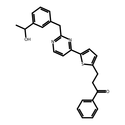 CC(O)c1cccc(Cc2nccc(-c3ccc(CCC(=O)c4ccccc4)s3)n2)c1